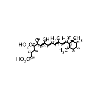 CC1=C(/C=C/C(C)=C/C=C/C(C)=C/C(=O)C(CCCC(=O)O)C(=O)O)C(C)(C)CCC1